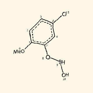 COc1ccc(Cl)cc1OBO